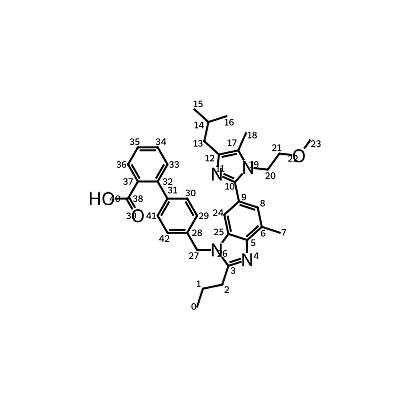 CCCc1nc2c(C)cc(-c3nc(CC(C)C)c(C)n3CCOC)cc2n1Cc1ccc(-c2ccccc2C(=O)O)cc1